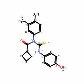 N#Cc1ccc(N(C(=O)C2CCC2)C(=S)Nc2ccc(O)cc2)cc1C(F)(F)F